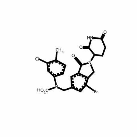 Cc1ccc(N(Cc2cc(Br)c3c(c2)C(=O)N(C2CCC(=O)NC2=O)C3)C(=O)O)cc1Cl